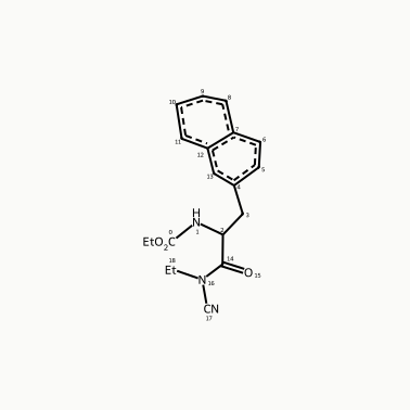 CCOC(=O)NC(Cc1ccc2ccccc2c1)C(=O)N(C#N)CC